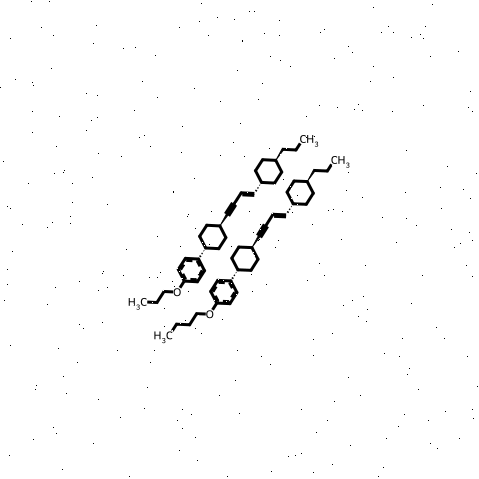 CCCCOc1ccc([C@H]2CC[C@H](C#CC=C[C@H]3CC[C@H](CCC)CC3)CC2)cc1.CCCOc1ccc([C@H]2CC[C@H](C#CC=C[C@H]3CC[C@H](CCC)CC3)CC2)cc1